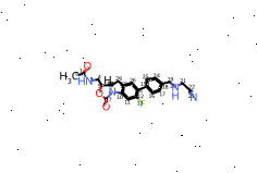 CC(=O)NCC1OC(=O)N2c3cc(F)c(-c4ccc(CNCC#N)cc4)cc3C[C@@H]12